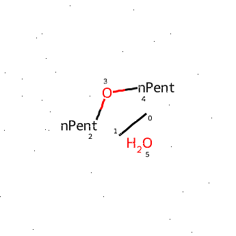 CC.CCCCCOCCCCC.O